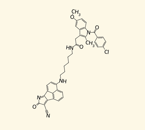 COc1ccc2c(c1)c(CC(=O)NCCCCCCNc1ccc3c4c(cccc14)C1=C(C#N)C(=O)N=C13)c(C)n2C(=O)c1ccc(Cl)cc1